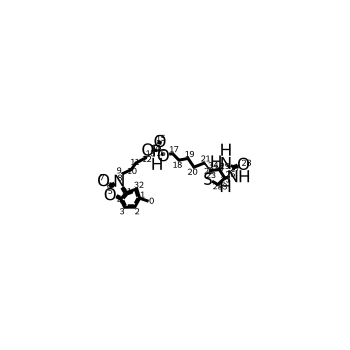 Cc1ccc2oc(=O)n(CCCCO[PH](=O)OCCCCC[C@@H]3SC[C@@H]4NC(=O)N[C@@H]43)c2c1